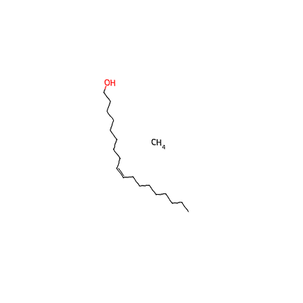 C.CCCCCCCC/C=C\CCCCCCCCO